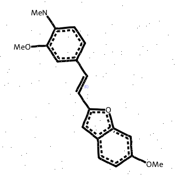 CNc1ccc(/C=C/c2cc3ccc(OC)cc3o2)cc1OC